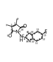 CC1=C(C)C(=O)N(Nc2nc3ccc(F)cc3s2)C1=O